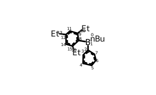 CCCCB(c1ccccc1)c1c(CC)cc(CC)cc1CC